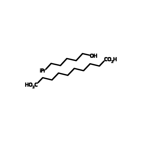 CC(C)CCCCCO.O=C(O)CCCCCCCCC(=O)O